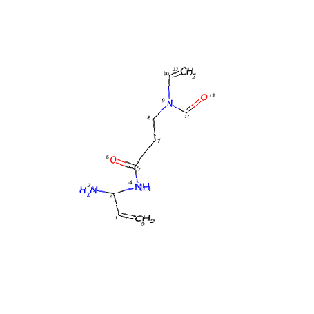 C=CC(N)NC(=O)CCN(C=C)C=O